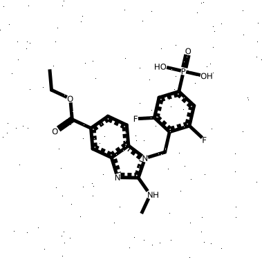 CCOC(=O)c1ccc2c(c1)nc(NC)n2Cc1c(F)cc(P(=O)(O)O)cc1F